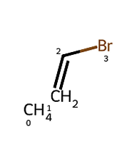 C.C=CBr